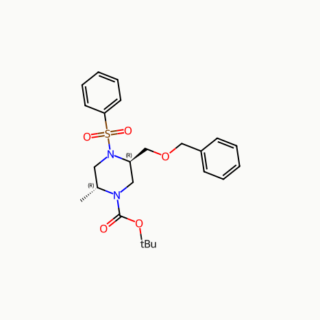 C[C@@H]1CN(S(=O)(=O)c2ccccc2)[C@@H](COCc2ccccc2)CN1C(=O)OC(C)(C)C